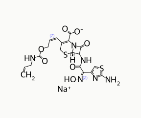 C=CCNC(=O)OC/C=C\C1=C(C(=O)[O-])N2C(=O)C(NC(=O)/C(=N\O)c3csc(N)n3)[C@@H]2SC1.[Na+]